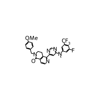 COc1ccc(CN2CCc3c(ccnc3-c3cc(N(C)c4cc(F)cc(C(F)(F)F)c4)ncn3)C2=O)cc1